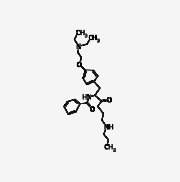 CCCNCCCC(=O)C(Cc1ccc(OCCN(CC)CC)cc1)NC(=O)c1ccccc1